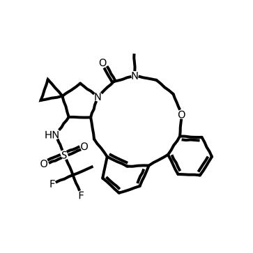 CN1CCOc2ccccc2-c2cccc(c2)CC2C(NS(=O)(=O)C(C)(F)F)C3(CC3)CN2C1=O